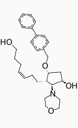 OCCC/C=C\CC[C@H]1[C@H](N2CCOCC2)[C@H](O)C[C@H]1OCc1ccc(-c2ccccc2)cc1